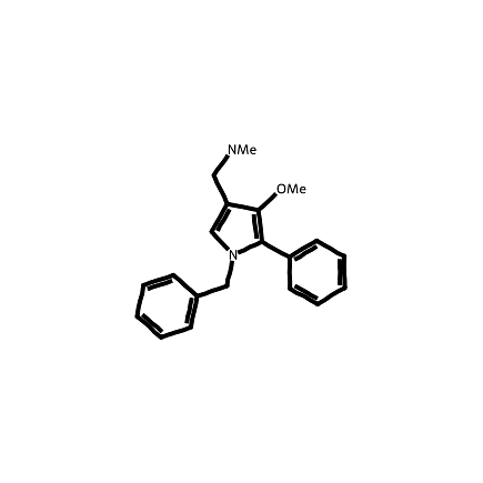 CNCc1cn(Cc2ccccc2)c(-c2ccccc2)c1OC